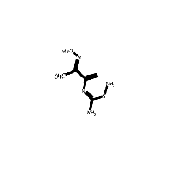 C=C(/N=C(/N)SN)/C(C=O)=N/OC